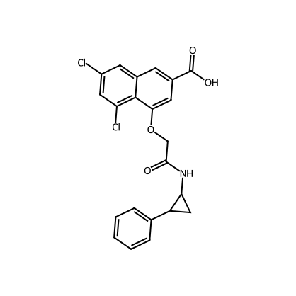 O=C(COc1cc(C(=O)O)cc2cc(Cl)cc(Cl)c12)NC1CC1c1ccccc1